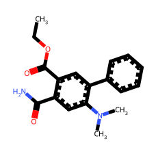 CCOC(=O)c1cc(-c2ccccc2)c(N(C)C)cc1C(N)=O